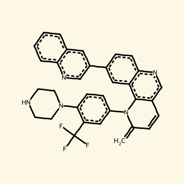 C=C1C=Cc2cnc3ccc(-c4cnc5ccccc5c4)cc3c2N1c1ccc(N2CCNCC2)c(C(F)(F)F)c1